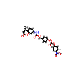 Cc1cc(=O)oc2cc(NC(=O)OCc3ccc(OC(=O)Oc4ccc([N+](=O)[O-])cc4)cc3)ccc12